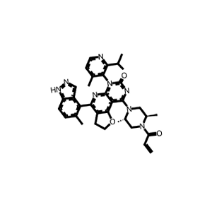 C=CC(=O)N1C[C@H](C)N(c2nc(=O)n(-c3c(C)ccnc3C(C)C)c3nc(-c4c(C)ccc5[nH]ncc45)c4c(c23)OCC4)C[C@H]1C